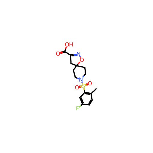 Cc1ccc(F)cc1S(=O)(=O)N1CCC2(CC1)CC(C(=O)O)=NO2